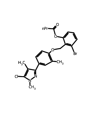 CCCC(=O)Oc1cccc(Br)c1COc1ccc(-c2nn(C)c(Cl)c2C)cc1C